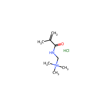 C=C(C)C(=O)NC[N+](C)(C)C.Cl